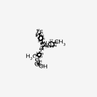 Cc1cc(SCc2sc(-c3ccc(C(F)(F)F)cc3)nc2CN2CCC(C)CC2)ccc1OCC(=O)O